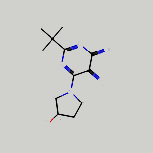 CC(C)(C)C1=NC(=N)C(=N)C(N2CCC(O)C2)=N1